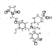 CCc1cc(CN(CC2CCC(C(=O)O)CC2)[C@@H](C)c2ccc(Cl)c(F)c2)ccc1OCCN1C(=O)CCC1=O